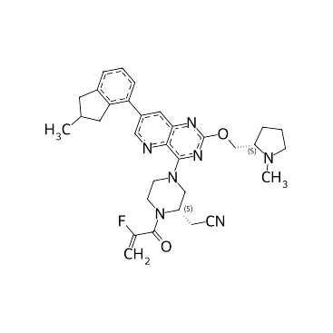 C=C(F)C(=O)N1CCN(c2nc(OC[C@@H]3CCCN3C)nc3cc(-c4cccc5c4CC(C)C5)cnc23)C[C@@H]1CC#N